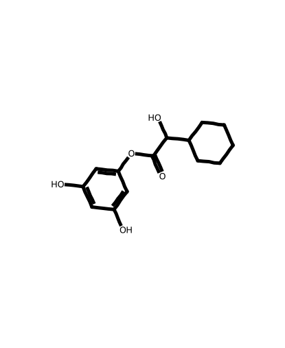 O=C(Oc1cc(O)cc(O)c1)C(O)C1CCCCC1